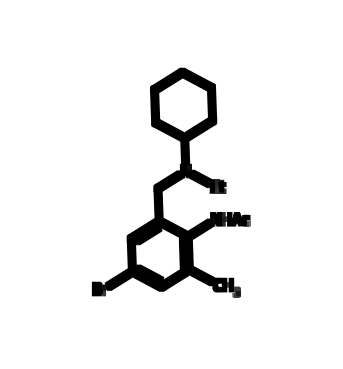 CCN(Cc1cc(Br)cc(C)c1NC(C)=O)C1CCCCC1